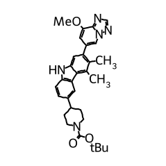 COc1cc(-c2cc3[nH]c4ccc(C5CCN(C(=O)OC(C)(C)C)CC5)cc4c3c(C)c2C)cn2ncnc12